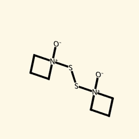 [O-][N+]1(SS[N+]2([O-])CCC2)CCC1